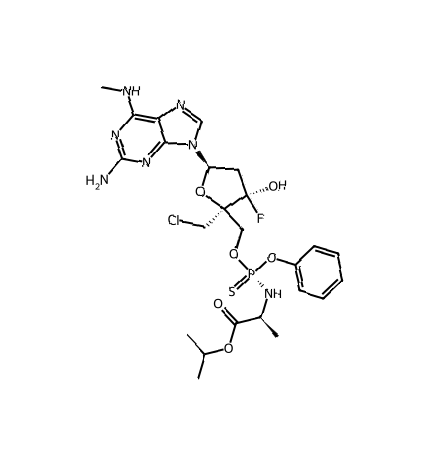 CNc1nc(N)nc2c1ncn2[C@H]1C[C@@](O)(F)[C@@](CCl)(CO[P@@](=S)(N[C@@H](C)C(=O)OC(C)C)Oc2ccccc2)O1